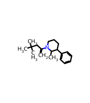 C=C(CC(C)(C)C)N1CCCC(c2ccccc2)C1C